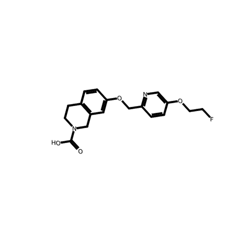 O=C(O)N1CCc2ccc(OCc3ccc(OCCF)cn3)cc2C1